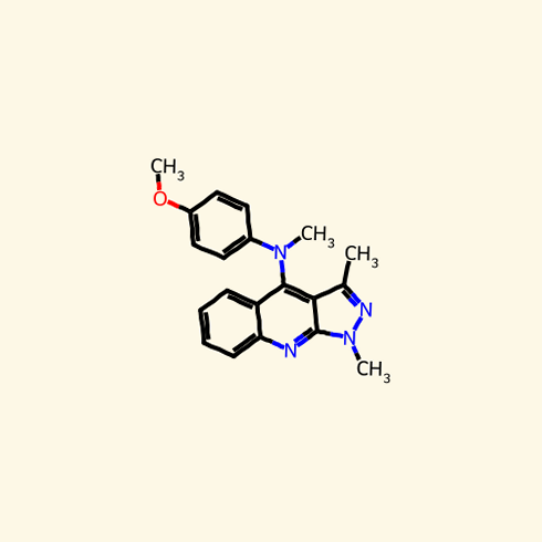 COc1ccc(N(C)c2c3ccccc3nc3c2c(C)nn3C)cc1